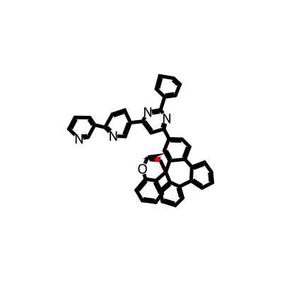 c1ccc(-c2nc(-c3ccc(-c4cccnc4)nc3)cc(-c3ccc4c(c3)C3(c5ccccc5Oc5ccccc53)c3ccccc3-c3ccccc3-4)n2)cc1